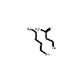 CC(=O)CCO.CCCCCC